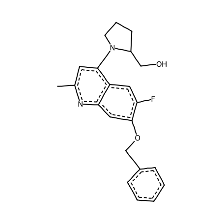 Cc1cc(N2CCCC2CO)c2cc(F)c(OCc3ccccc3)cc2n1